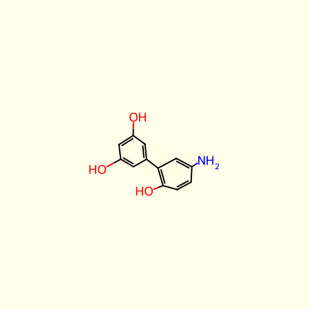 Nc1ccc(O)c(-c2cc(O)cc(O)c2)c1